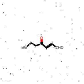 CCCCCCC(=O)C=CC=O